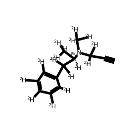 [2H]c1c([2H])c([2H])c(C([2H])([2H])[C@]([2H])(N(C([2H])([2H])[2H])C([2H])([2H])C#C)C([2H])([2H])[2H])c([2H])c1[2H]